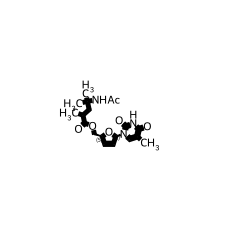 CC(=O)NC(C)(C)CC(C)C(=O)OC[C@@H]1C=C[C@H](n2cc(C)c(=O)[nH]c2=O)O1